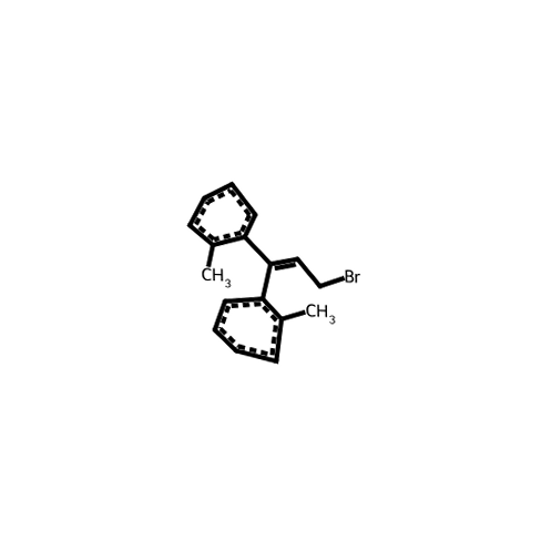 Cc1ccccc1C(=CCBr)c1ccccc1C